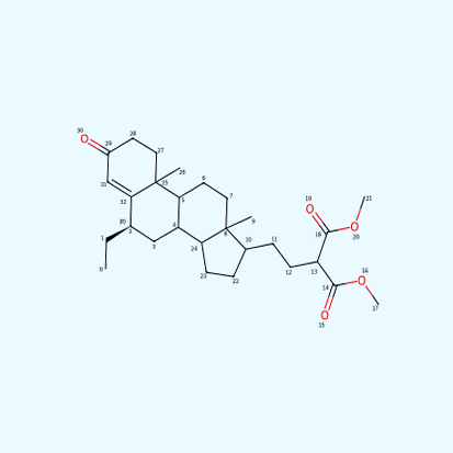 CC[C@@H]1CC2C(CCC3(C)C(CCC(C(=O)OC)C(=O)OC)CCC23)C2(C)CCC(=O)C=C12